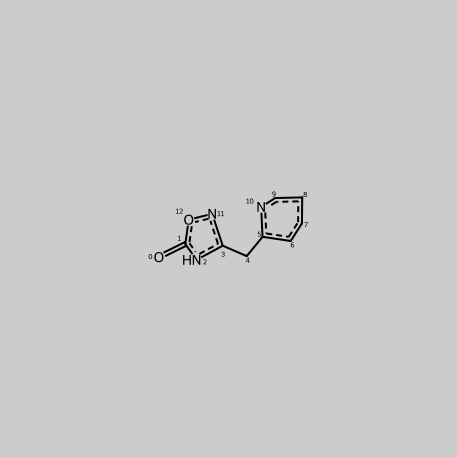 O=c1[nH]c(Cc2ccccn2)no1